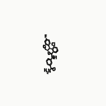 NC(=O)c1cccc(NC(=O)c2cccc(Cl)c2C2CCOc3cc(F)ccc32)c1